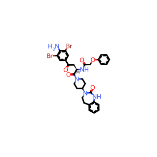 Nc1c(Br)cc(C(=O)C[C@@H](NC(=O)COc2ccccc2)C(=O)N2CCC(N3CCc4ccccc4NC3=O)CC2)cc1Br